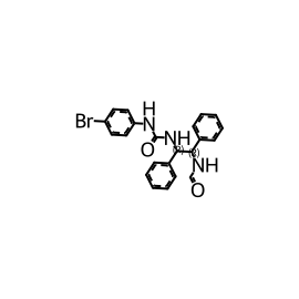 O=CN[C@H](c1ccccc1)[C@H](NC(=O)Nc1ccc(Br)cc1)c1ccccc1